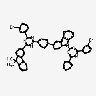 CC1(C)c2ccccc2-c2cc(-c3nc(-c4ccc(-c5ccc6c(c5)c5ccccc5n6-c5nc(-c6ccccc6)nc(-c6cccc(Br)c6)n5)cc4)nc(-c4cccc(Br)c4)n3)ccc21